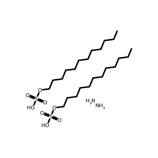 CCCCCCCCCCCCOS(=O)(=O)O.CCCCCCCCCCCCOS(=O)(=O)O.N.N